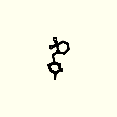 Cc1ccc(CN2CCCCS2(=O)=O)cn1